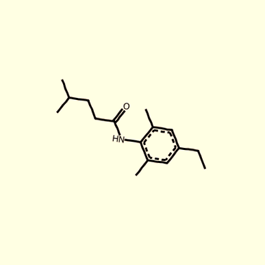 CCc1cc(C)c(NC(=O)CCC(C)C)c(C)c1